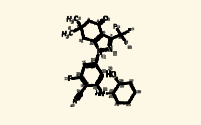 CC1(C)CC(=O)c2c(C(F)(F)F)nn(-c3cc(F)c(C#N)c(N[C@H]4CCCC[C@@H]4O)c3)c2C1